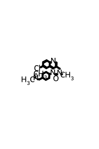 CN(C)CC1CCC(N2C(=O)N(C)Cc3cnc4ccc(Cl)cc4c32)CC1